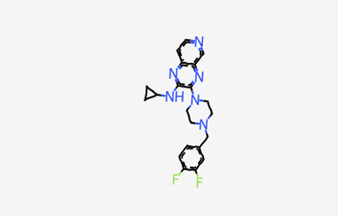 Fc1ccc(CN2CCN(c3nc4cnccc4nc3NC3CC3)CC2)cc1F